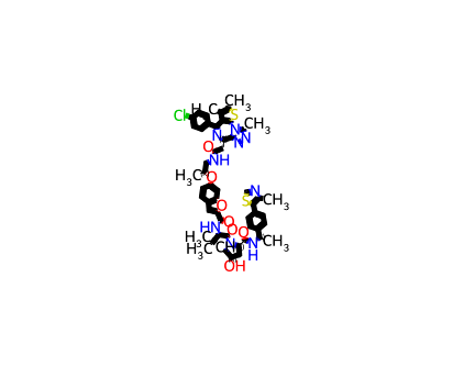 Cc1ncsc1-c1ccc([C@H](C)NC(=O)[C@@H]2C[C@@H](O)CN2C(=O)C(NC(=O)c2cc3ccc(O[C@H](C)CNC(=O)C[C@@H]4N=C(c5ccc(Cl)cc5)c5c(sc(C)c5C)-n5c(C)nnc54)cc3o2)C(C)(C)C)cc1